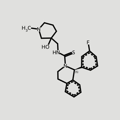 CN1CCCC(O)(CNC(=S)N2CCc3ccccc3[C@@H]2c2cccc(F)c2)C1